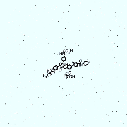 Cc1cc(C(=O)NC2CCN(C)CC2)ccc1-c1ccc(C[C@H](NC(=O)[C@H]2CC[C@H](CNC(=O)O)CC2)C(=O)Nc2ccc3[nH]c(C(F)(F)C(F)(F)F)nc3c2)cc1.O=C(O)C(F)(F)F